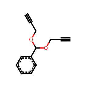 C#CCOC(OCC#C)c1ccccc1